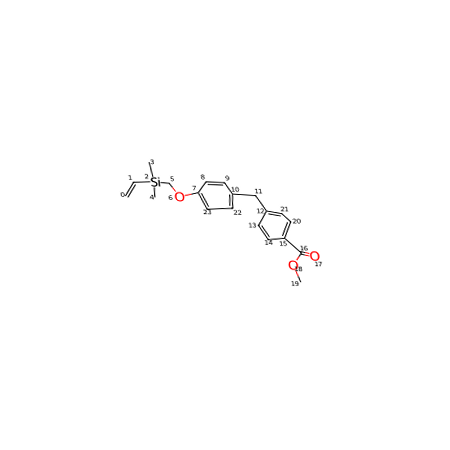 C=C[Si](C)(C)COc1ccc(Cc2ccc(C(=O)OC)cc2)cc1